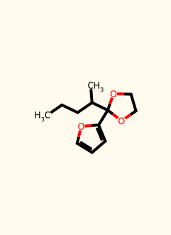 CCCC(C)C1(c2ccco2)OCCO1